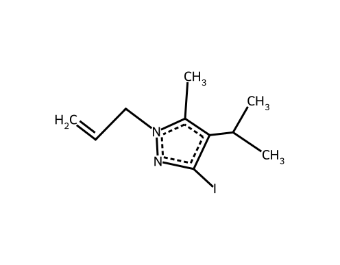 C=CCn1nc(I)c(C(C)C)c1C